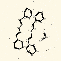 C(=Cc1ccccc1)OC=Cc1ccccc1.C(=Cc1ccccc1)OC=Cc1ccccc1.O=S=O